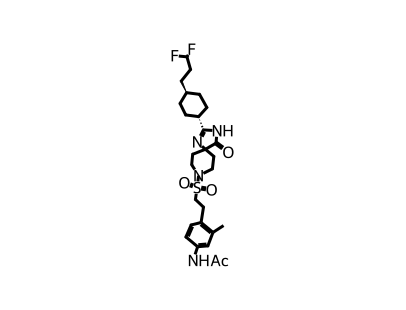 CC(=O)Nc1ccc(CCS(=O)(=O)N2CCC3(CC2)N=C([C@H]2CC[C@H](CCC(F)F)CC2)NC3=O)c(C)c1